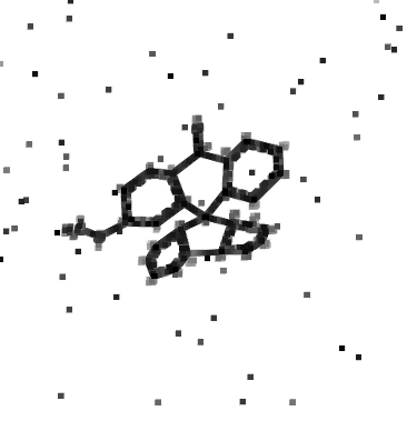 COc1ccc2c(c1)C1(c3ccccc3C2=O)c2ccccc2-c2ccccc21